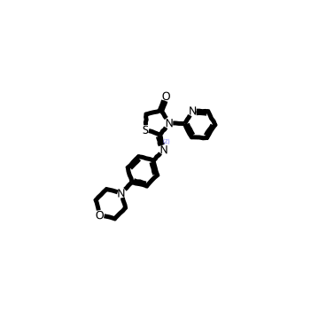 O=C1CS/C(=N\c2ccc(N3CCOCC3)cc2)N1c1ccccn1